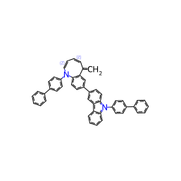 C=C1/C=C\C=C/N(c2ccc(-c3ccccc3)cc2)c2ccc(-c3ccc4c(c3)c3ccccc3n4-c3ccc(-c4ccccc4)cc3)cc21